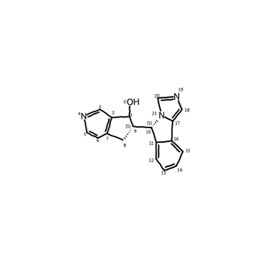 OC1c2cnccc2C[C@H]1[C@H]1c2ccccc2-c2cncn21